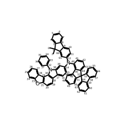 CC1(C)c2ccccc2-c2ccc(N(c3ccc4c5ccc6oc7ccccc7c6c5n(-c5ccccc5)c4c3)c3cccc4c3-c3ccccc3C43c4ccccc4-c4ccccc43)cc21